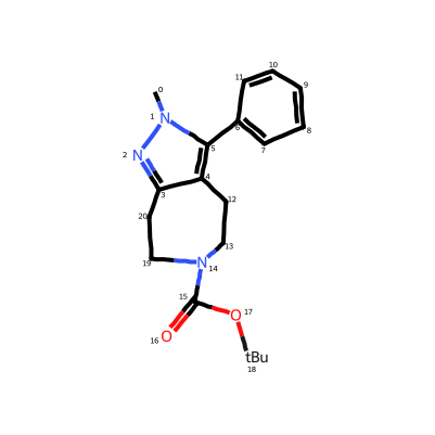 Cn1nc2c(c1-c1ccccc1)CCN(C(=O)OC(C)(C)C)CC2